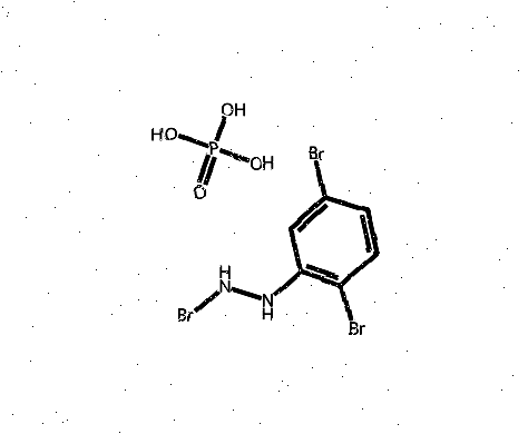 BrNNc1cc(Br)ccc1Br.O=P(O)(O)O